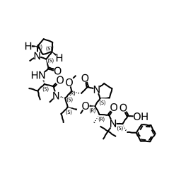 CC[C@H](C)[C@@H]([C@@H](CC(=O)N1CCC[C@H]1[C@H](OC)[C@@H](C)C(=O)N([C@@H](Cc1ccccc1)C(=O)O)C(C)(C)C)OC)N(C)C(=O)[C@@H](NC(=O)[C@@H]1[C@H]2CC[C@H](C2)N1C)C(C)C